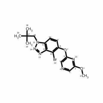 COc1cncc(Oc2ccc3c(nnn3CC(C)(C)C)c2Br)n1